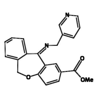 COC(=O)c1ccc2c(c1)C(=NCc1cccnc1)c1ccccc1CO2